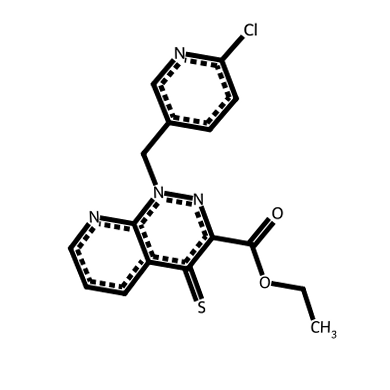 CCOC(=O)c1nn(Cc2ccc(Cl)nc2)c2ncccc2c1=S